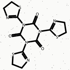 O=c1n(C2=NCCS2)c(=O)n(C2=NCCS2)c(=O)n1C1=NCCS1